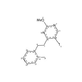 COc1ncc(I)c(CCc2ccccc2C)n1